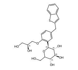 OCC1O[C@@H](c2cc(Cc3cc4ccccc4s3)ccc2OC[C@@H](O)CO)[C@H](O)[C@@H](O)[C@@H]1O